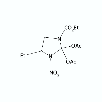 CCOC(=O)N1CC(CC)N([N+](=O)[O-])C1(OC(C)=O)OC(C)=O